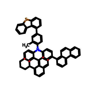 Cc1cc(-c2cccc3sc4ccccc4c23)ccc1N(c1ccc(-c2cccc3c2ccc2ccccc23)cc1)c1ccccc1-c1cccc2cccc(C3CCCCC3)c12